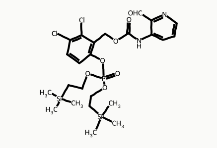 C[Si](C)(C)CCOP(=O)(OCC[Si](C)(C)C)Oc1ccc(Cl)c(Cl)c1COC(=O)Nc1cccnc1C=O